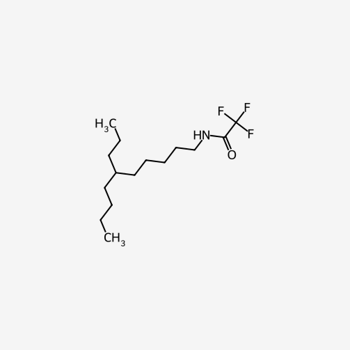 CCCCC(CCC)CCCCCNC(=O)C(F)(F)F